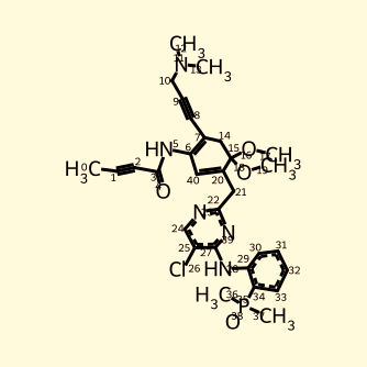 CC#CC(=O)NC1=C(C#CCN(C)C)CC(OC)(OC)C(Cc2ncc(Cl)c(Nc3ccccc3P(C)(C)=O)n2)=C1